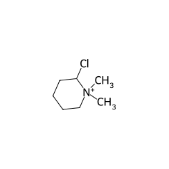 C[N+]1(C)CCCCC1Cl